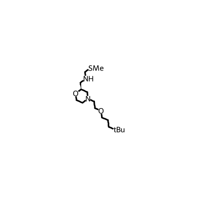 CSCNC[C@H]1CN(CCOCCCC(C)(C)C)CCO1